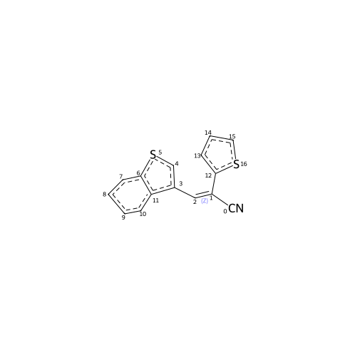 N#C/C(=C/c1csc2ccccc12)c1cccs1